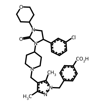 Cc1nn(Cc2ccc(C(=O)O)cc2)c(C)c1CN1CCC(N2C(=O)N(C3CCOCC3)CC2c2cccc(Cl)c2)CC1